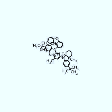 Cc1cc(N(c2c(C)cc(C(C)(C)C)cc2C)c2cccc3oc4ccccc4c23)cc(N2c3ccc(C(C)(C)C)cc3C3(C)CCCCC23C)c1